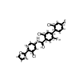 O=C(Nc1cnc(-c2ncco2)c(Cl)c1)c1cc(F)c(-c2ccc(F)cc2Cl)cc1Cl